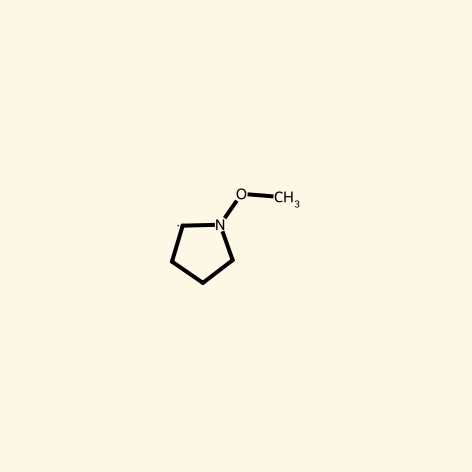 CON1[CH]CCC1